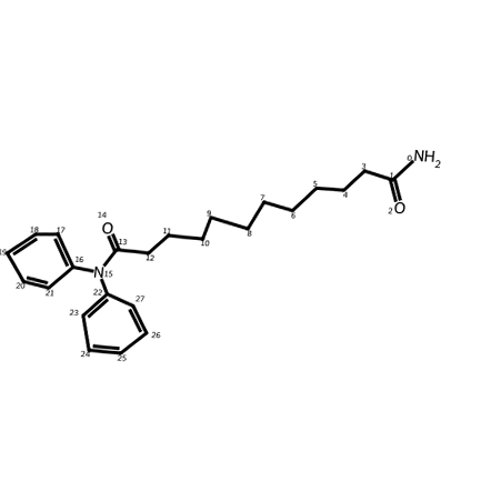 NC(=O)CCCCCCCCCCC(=O)N(c1ccccc1)c1ccccc1